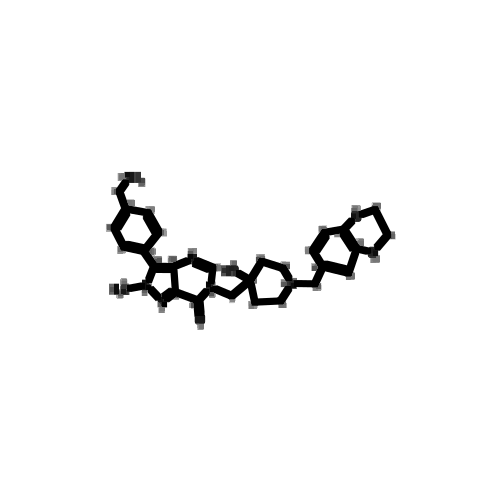 Cn1nc2c(=O)n(CC3(O)CCN(Cc4ccc5c(c4)OCCO5)CC3)cnc2c1-c1ccc(CN)cc1